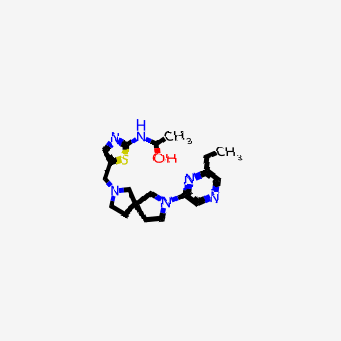 CCc1cncc(N2CCC3(CCN(Cc4cnc(NC(C)O)s4)C3)C2)n1